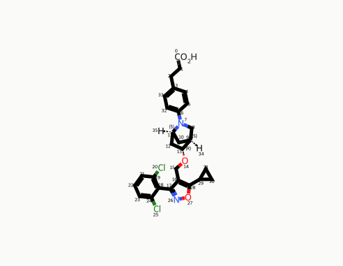 O=C(O)CCc1ccc(N2C[C@@H]3C[C@H]2C[C@H]3OCc2c(-c3c(Cl)cccc3Cl)noc2C2CC2)cc1